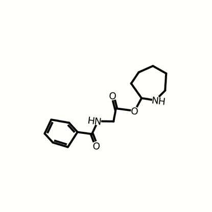 O=C(CNC(=O)c1ccccc1)OC1CCCCCN1